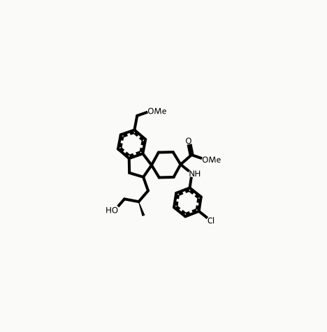 COCc1ccc2c(c1)C1(CCC(Nc3cccc(Cl)c3)(C(=O)OC)CC1)C(C[C@@H](C)CO)C2